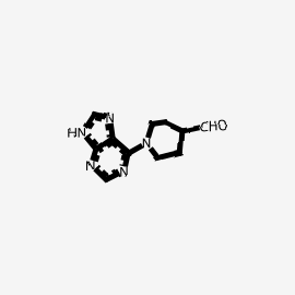 O=CC1CCN(c2ncnc3[nH]cnc23)CC1